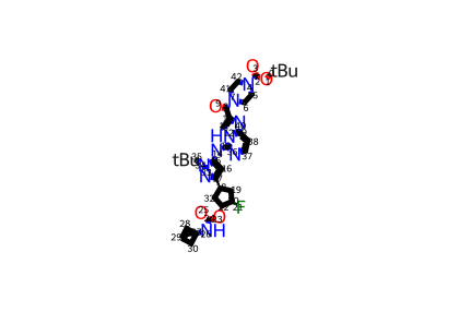 CC(C)(C)OC(=O)N1CCN(C(=O)c2cn3c(Nc4cc([C@H]5C[C@@H](F)[C@@H](OC(=O)NC67CC(C6)C7)C5)nn4C(C)(C)C)nccc3n2)CC1